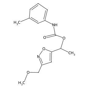 COCc1cc(C(C)OC(=O)Nc2cccc(C)c2)on1